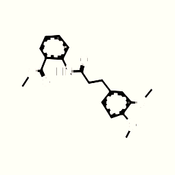 COC(=O)c1ccccc1NC(=O)CCc1ccc(OC)c(OC)c1